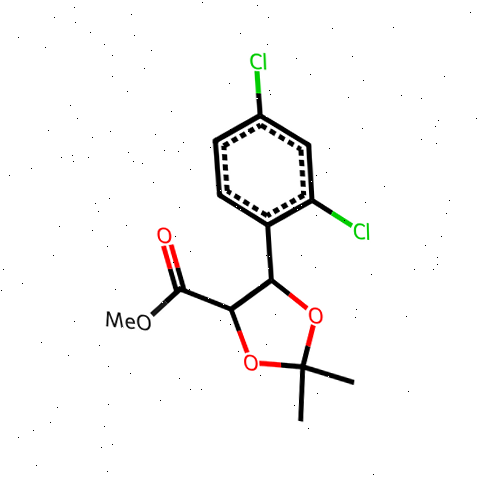 COC(=O)C1OC(C)(C)OC1c1ccc(Cl)cc1Cl